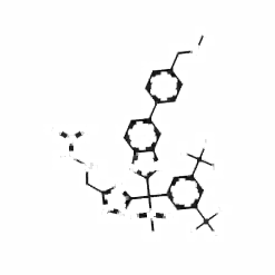 COCc1ccc(-c2ccc3nc(C(c4cc(C(F)(F)F)cc(C(F)(F)F)c4)(c4nnc(CNN[SH](=O)=O)o4)S(C)(=O)=O)sc3c2)cc1